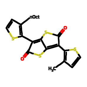 CCCCCCCCc1ccsc1C1=C2SC(=O)C(c3sccc3C)=C2SC1=O